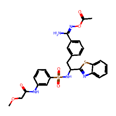 COCC(=O)Nc1cccc(S(=O)(=O)NC(Cc2cccc(/C(N)=N\OC(C)=O)c2)c2nc3ccccc3s2)c1